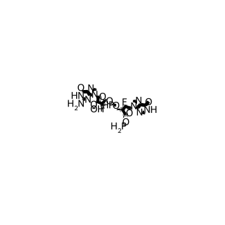 Nc1nc2c(ncn2[C@@H]2OC(OPOC[C@H]3[C@@H](F)[C@H](n4cnc5c(=O)[nH]cnc54)O[C@@H]3COP)[C@@H](F)[C@H]2OO)c(=O)[nH]1